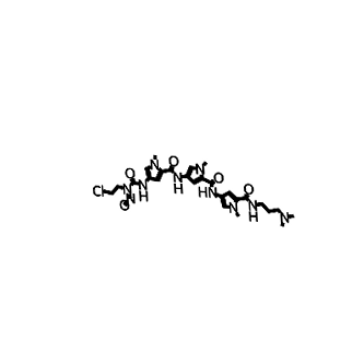 CN(C)CCCNC(=O)c1cc(NC(=O)c2cc(NC(=O)c3cc(NC(=O)N(CCCl)N=O)cn3C)cn2C)cn1C